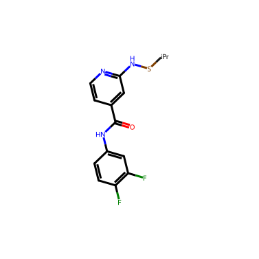 CC(C)SNc1cc(C(=O)Nc2ccc(F)c(F)c2)ccn1